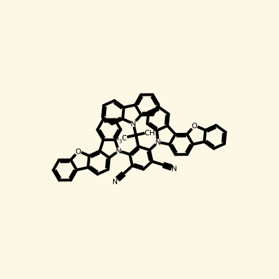 CC(C)(c1c(-n2c3ccccc3c3c4oc5ccccc5c4ccc32)c(C#N)cc(C#N)c1-n1c2ccccc2c2c3oc4ccccc4c3ccc21)n1c2ccccc2c2ccccc21